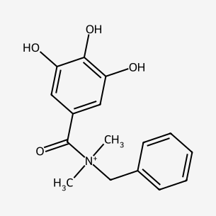 C[N+](C)(Cc1ccccc1)C(=O)c1cc(O)c(O)c(O)c1